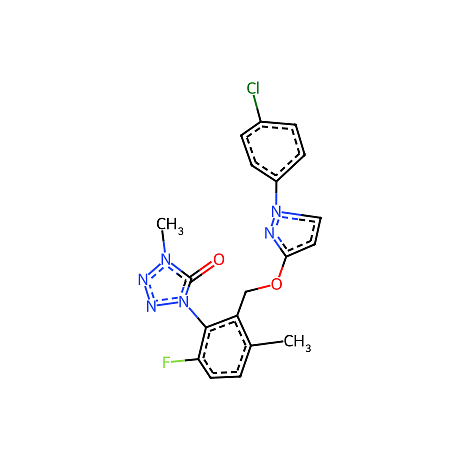 Cc1ccc(F)c(-n2nnn(C)c2=O)c1COc1ccn(-c2ccc(Cl)cc2)n1